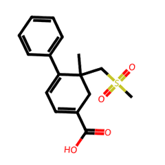 CC1(CS(C)(=O)=O)CC(C(=O)O)=CC=C1c1ccccc1